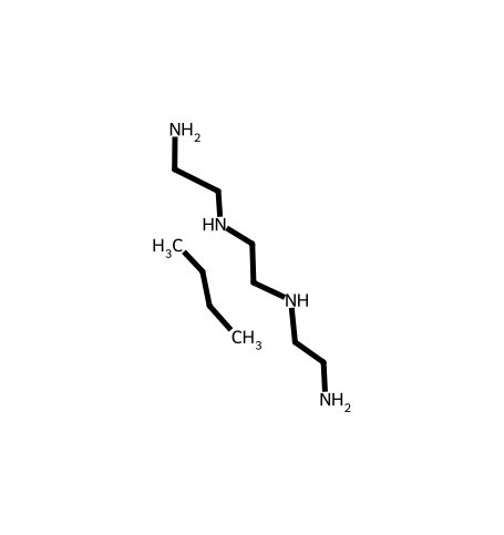 CCCC.NCCNCCNCCN